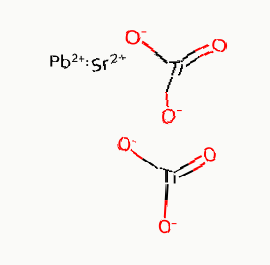 [O]=[Ti]([O-])[O-].[O]=[Ti]([O-])[O-].[Pb+2].[Sr+2]